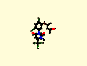 CC(=O)CC(C)Sc1cc(-n2c(=O)cc(C(F)(F)F)n(C)c2=O)c(F)cc1Cl